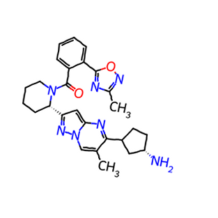 Cc1noc(-c2ccccc2C(=O)N2CCCC[C@H]2c2cc3nc(C4CC[C@H](N)C4)c(C)cn3n2)n1